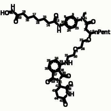 CCCCCC(CC(=O)N(C)c1ccc(NC(=O)CCCCCCC(=O)NO)cc1)OCCOCCNc1cccc2c1C(=O)N(C1CCC(=O)NC1=O)C2=O